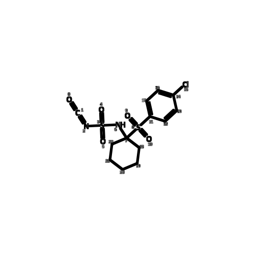 O=C=NS(=O)(=O)NC1(S(=O)(=O)c2ccc(Cl)cc2)CCCCC1